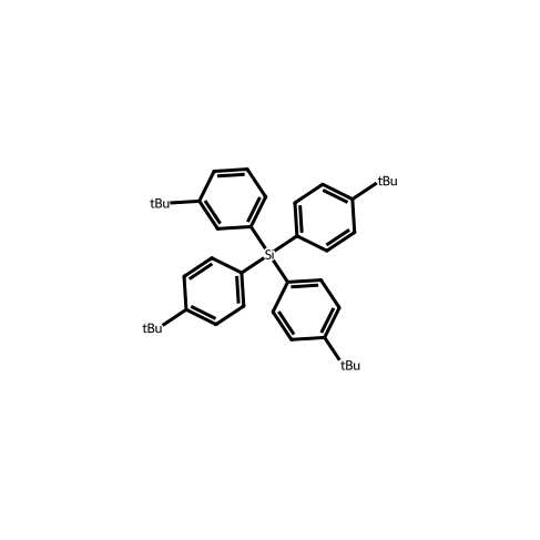 CC(C)(C)c1ccc([Si](c2ccc(C(C)(C)C)cc2)(c2ccc(C(C)(C)C)cc2)c2cccc(C(C)(C)C)c2)cc1